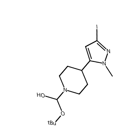 Cn1nc(I)cc1C1CCN(C(O)OC(C)(C)C)CC1